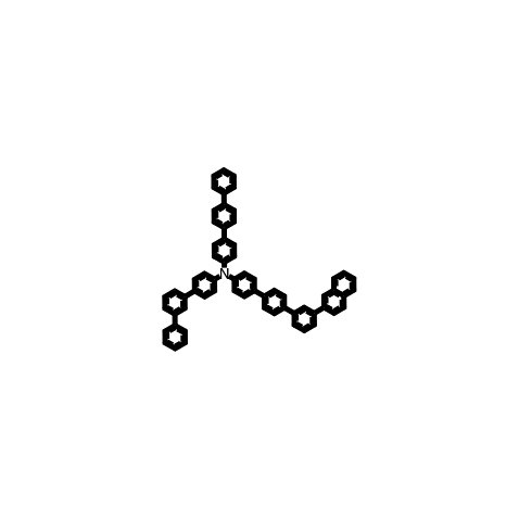 c1ccc(-c2ccc(-c3ccc(N(c4ccc(-c5ccc(-c6cccc(-c7ccc8ccccc8c7)c6)cc5)cc4)c4ccc(-c5cccc(-c6ccccc6)c5)cc4)cc3)cc2)cc1